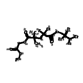 CCC(CC)C(CC)(CC)OC(=O)C(F)(CC)CC(C)(C)C(=O)OCC(=O)OC(C)C